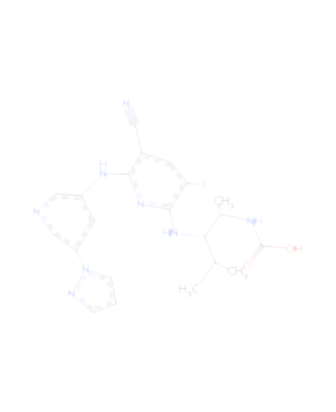 CC(C)[C@H](Nc1nc(Nc2cncc(-n3cccn3)c2)c(C#N)cc1F)[C@H](C)NC(=O)O